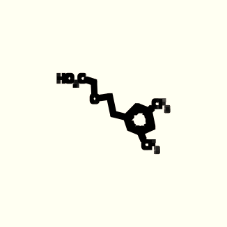 O=C(O)COCCc1cc(C(F)(F)F)cc(C(F)(F)F)c1